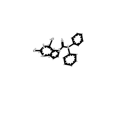 O=C(N(c1ccccc1)c1ccccc1)n1ccc2nc(Cl)nc(Cl)c21